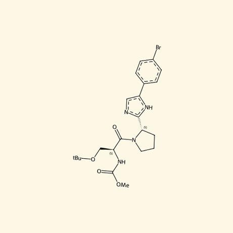 COC(=O)N[C@@H](COC(C)(C)C)C(=O)N1CCC[C@H]1c1ncc(-c2ccc(Br)cc2)[nH]1